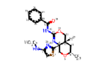 O=C(O)Nc1csc([C@]23CO[C@@H](C(F)(F)F)C[C@H]2COC(NC(=O)c2ccccc2)=N3)n1